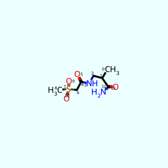 CC(CNC(=O)CS(C)(=O)=O)C(N)=O